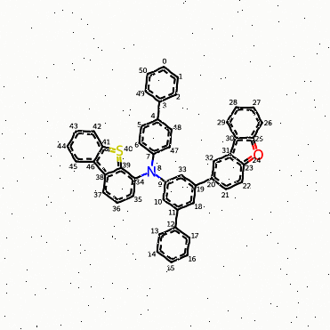 c1ccc(-c2ccc(N(c3cc(-c4ccccc4)cc(-c4ccc5oc6ccccc6c5c4)c3)c3cccc4c3sc3ccccc34)cc2)cc1